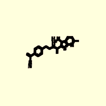 C=C(C#N)c1ccc(CCNC(=C)c2sc3nc(C)ccc3c2N)cc1